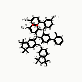 Cc1ccccc1-c1cc2c3c(c1)N(c1ccc(C(C)(C)C)cc1-c1ccc(C(C)(C)C)cc1)c1ccc(C(C)(C)C)cc1B3c1cc3c(cc1N2c1ccc2c(c1)C(C)(C)CC2(C)C)C(C)(C)CC3(C)C